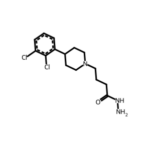 NNC(=O)CCCN1CCC(c2cccc(Cl)c2Cl)CC1